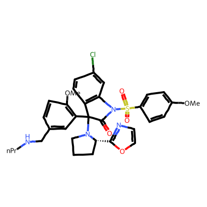 CCCNCc1ccc(OC)c(C2(N3CCC[C@H]3c3ncco3)C(=O)N(S(=O)(=O)c3ccc(OC)cc3)c3cc(Cl)ccc32)c1